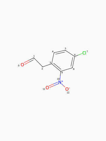 O=[C]Cc1ccc(Cl)cc1[N+](=O)[O-]